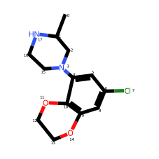 CC1CN(c2cc(Cl)cc3c2OCCO3)CCN1